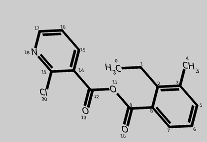 CCc1c(C)cccc1C(=O)OC(=O)c1cccnc1Cl